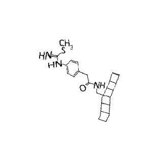 CSC(=N)Nc1ccc(CC(=O)NCC23C4C5CCC5C4C2C2C4CCC4C23)cc1